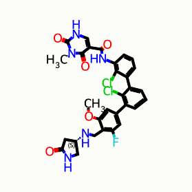 COc1cc(-c2cccc(-c3cccc(NC(=O)c4c[nH]c(=O)n(C)c4=O)c3Cl)c2Cl)cc(F)c1CN[C@@H]1CNC(=O)C1